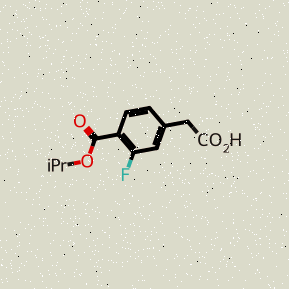 CC(C)OC(=O)c1ccc(CC(=O)O)cc1F